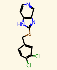 Clc1ccc(CSc2nc3cnccc3[nH]2)cc1Cl